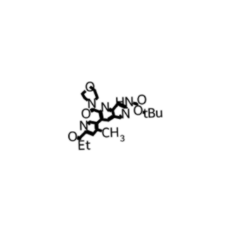 CCC(=O)c1cc(C)c(-c2cc3cnc(NC(=O)OC(C)(C)C)cc3nc2C(=O)N2CCOCC2)cn1